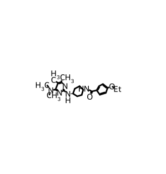 CCOc1ccc(C(=O)N[C@H]2CC[C@@H](Nc3nc(C)c(C)c(N(C)C)n3)CC2)cc1